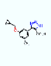 O=C(O)c1[nH]nnc1-c1cc(OCC2CC2)cc(C(F)(F)F)c1